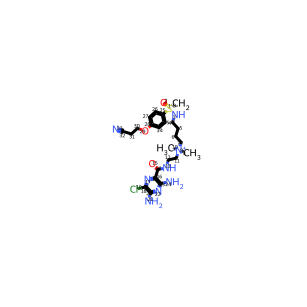 C=S(=O)(NCCCC[N+](C)(C)CCNC(=O)c1nc(Cl)c(N)nc1N)c1ccc(OCCC#N)cc1